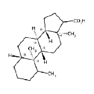 CC1CCC[C@@H]2CC[C@@H]3[C@H](CC[C@]4(C)C(C(=O)O)CC[C@@H]34)[C@@]12C